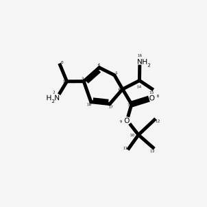 CC(N)C1=CCC(C(=O)OC(C)(C)C)(C(C)N)C=C1